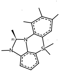 Cc1cc2c(c(C)c1C)N1c3c(cccc3[Si]2(C)C)N(C)[C@H]1C